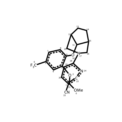 COCOc1cc(C(F)(F)F)ccc1OC1C2CCC1CN(c1ccc(C#N)cn1)C2